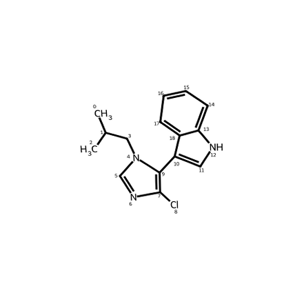 CC(C)Cn1cnc(Cl)c1-c1c[nH]c2ccccc12